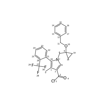 Cc1c(C(=O)Cl)cn(CC2(OCc3ccccc3)CC2)c1-c1ccccc1C(F)(F)F